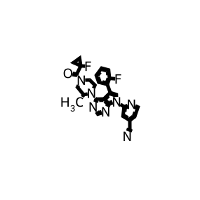 CC1CN(C(=O)C2(F)CC2)CCN1c1ncnc2c1c(-c1ccccc1F)cn2-c1cc(C#N)ccn1